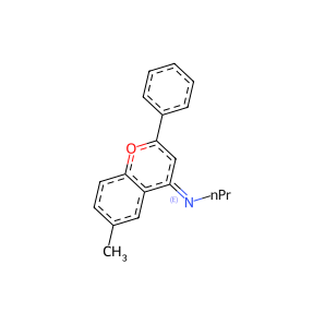 CCC/N=c1\cc(-c2ccccc2)oc2ccc(C)cc12